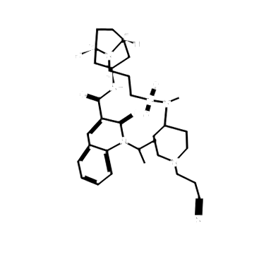 CC(C)n1c(=O)c(C(=O)N[C@@H]2C[C@H]3CC[C@@H](C2)N3CCCS(=O)(=O)N(C)C2CCN(CCC#N)CC2)cc2ccccc21